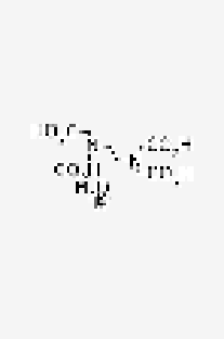 O.O=C(O)CN(CCN(CC(=O)O)CC(=O)O)CC(=O)O.[K].[K]